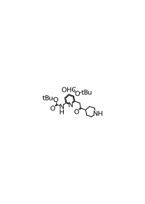 CC(C)(C)OC(=O)Nc1cccc(CC(=O)C2CCNCC2)n1.CC(C)(C)OC=O